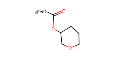 CCCCCC(=O)OC1CCCOC1